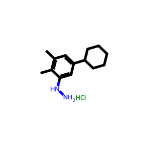 Cc1cc(C2CCCCC2)cc(NN)c1C.Cl